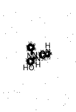 Oc1ccc2nc(-c3ccccc3)nc(Nc3ccc4[nH]ccc4c3)c2c1